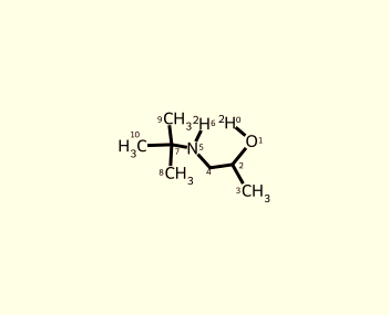 [2H]OC(C)CN([2H])C(C)(C)C